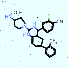 N#Cc1ccc(C2NC(N3CCC(NC(=O)O)CC3)NC3=CC=C(c4ccccc4C(F)(F)F)CC32)cc1F